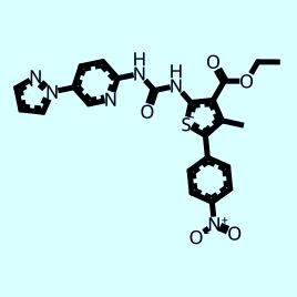 CCOC(=O)c1c(NC(=O)Nc2ccc(-n3cccn3)cn2)sc(-c2ccc([N+](=O)[O-])cc2)c1C